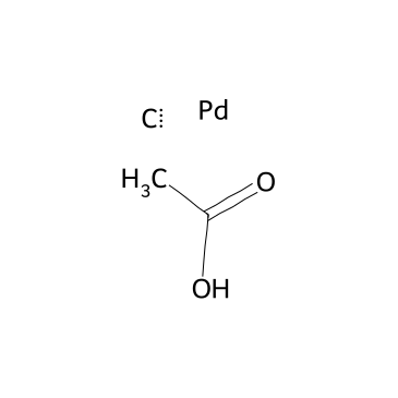 CC(=O)O.[C].[Pd]